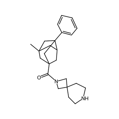 CC12CC3CC(C(=O)N4CC5(CCNCC5)C4)(C1)CC3(c1ccccc1)C2